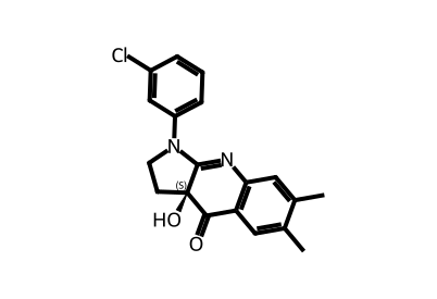 Cc1cc2c(cc1C)C(=O)[C@]1(O)CCN(c3cccc(Cl)c3)C1=N2